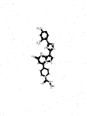 Cc1ccc(-c2noc(-c3cnn4c(C5CCN(C(=O)OC(C)(C)C)CC5)cc(=O)[nH]c34)n2)c(C(F)(F)F)c1